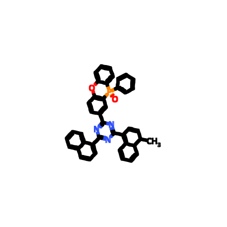 CC1C=CC(c2nc(-c3ccc4c(c3)P(=O)(c3ccccc3)c3ccccc3O4)nc(-c3cccc4ccccc34)n2)=C2C=CC=CC21